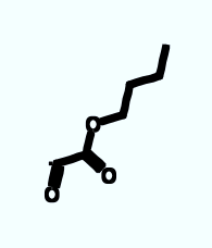 CCCCOC(=O)[C]=O